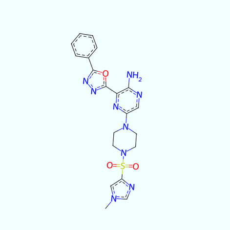 Cn1cnc(S(=O)(=O)N2CCN(c3cnc(N)c(-c4nnc(-c5ccccc5)o4)n3)CC2)c1